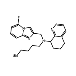 CC(C)(C)[CH]CCCN(Cc1cn2c(F)cccc2n1)C1CCCc2cccnc21